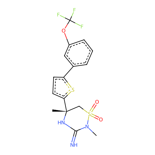 CN1C(=N)N[C@](C)(c2ccc(-c3cccc(OC(F)(F)F)c3)s2)CS1(=O)=O